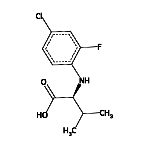 CC(C)[C@H](Nc1ccc(Cl)cc1F)C(=O)O